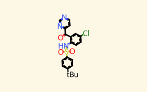 CC(C)(C)c1ccc(S(=O)(=O)Nc2ccc(Cl)cc2C(=O)c2ccncn2)cc1